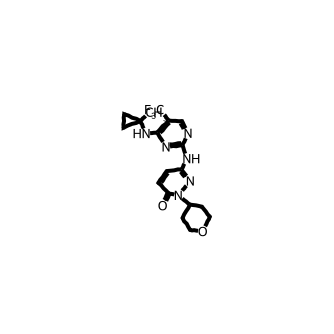 CC1(Nc2nc(Nc3ccc(=O)n(C4CCOCC4)n3)ncc2C(F)(F)F)CC1